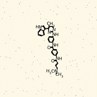 Cc1cnc(Nc2cccc(NC(=O)c3ccc(NC(=O)/C=C/CN(C)C)cc3)c2)nc1-c1c[nH]c2ccccc12